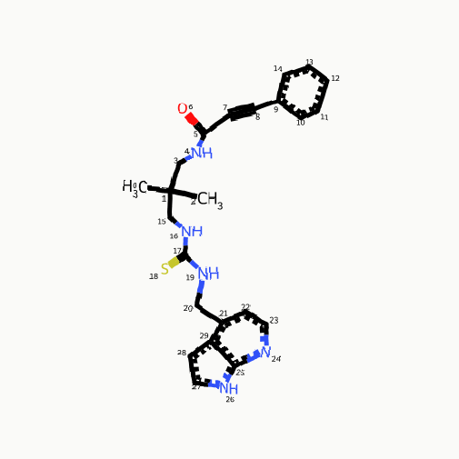 CC(C)(CNC(=O)C#Cc1ccccc1)CNC(=S)NCc1ccnc2[nH]ccc12